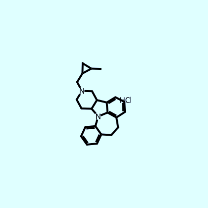 CC1CC1CN1CCC2C(C1)c1cccc3c1N2c1ccccc1CC3.Cl